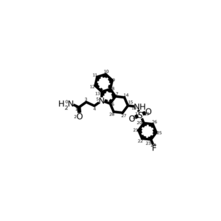 NC(=O)CCn1c2c(c3ccccc31)CC(NS(=O)(=O)c1ccc(F)cc1)CC2